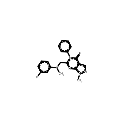 CN(Cc1nc2c(cnn2C)c(=O)n1-c1ccccc1)c1cccc(F)c1